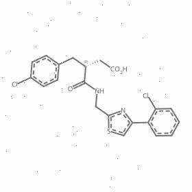 O=C(O)C[C@@H](Cc1ccc(Cl)cc1)C(=O)NCc1nc(-c2ccccc2Cl)cs1